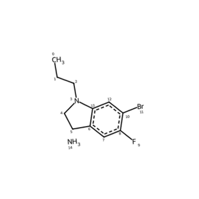 CCCN1CCc2cc(F)c(Br)cc21.N